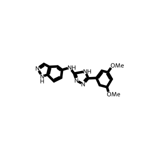 COC1=CC(OC)CC(c2nnc(Nc3ccc4[nH]ncc4c3)[nH]2)=C1